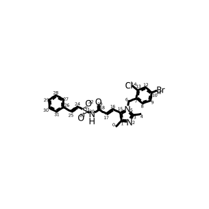 Cc1nc(C)n(Cc2ccc(Br)cc2Cl)c1/C=C/C(=O)NS(=O)(=O)/C=C/c1ccccc1